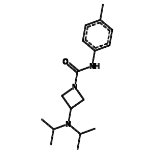 Cc1ccc(NC(=O)N2CC(N(C(C)C)C(C)C)C2)cc1